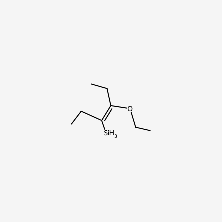 CCOC(CC)=C([SiH3])CC